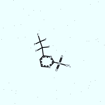 CS(=O)(=O)c1nccc(C(F)(F)C(F)(F)F)n1